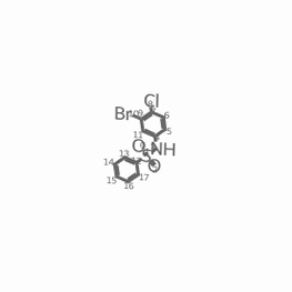 O=S(=O)(Nc1ccc(Cl)c(Br)c1)c1ccccc1